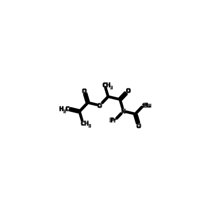 C=C(C)C(=O)OC(C)C(=O)N(C(=O)C(C)(C)C)C(C)C